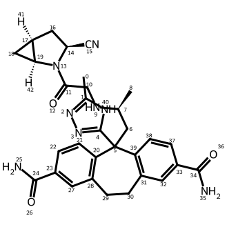 Cc1nnc(C2(C[C@H](C)NCC(=O)N3[C@H](C#N)C[C@@H]4C[C@@H]43)c3ccc(C(N)=O)cc3CCc3cc(C(N)=O)ccc32)[nH]1